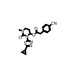 CN1CCC(OC(=O)Cc2ccc(C#N)cc2)N(c2nnc(C3CC3)s2)C1=O